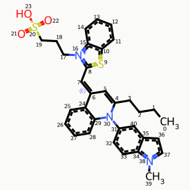 CCCCC1=C/C(=C\c2sc3ccccc3[n+]2CCCS(=O)(=O)O)c2ccccc2N1c1ccc2c(ccn2C)c1